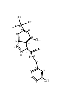 O=C(NCc1cccc(Cl)c1)n1nnc2cc(C(F)(F)F)cc(Cl)c21